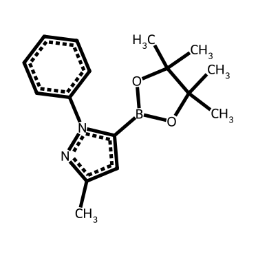 Cc1cc(B2OC(C)(C)C(C)(C)O2)n(-c2ccccc2)n1